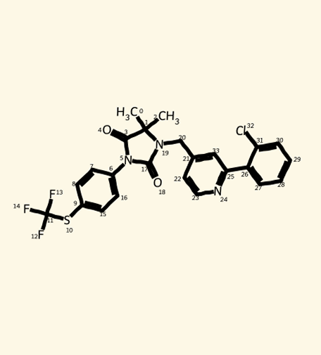 CC1(C)C(=O)N(c2ccc(SC(F)(F)F)cc2)C(=O)N1Cc1ccnc(-c2ccccc2Cl)c1